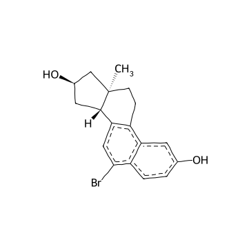 C[C@]12CCc3c(cc(Br)c4ccc(O)cc34)[C@@H]1C[C@@H](O)C2